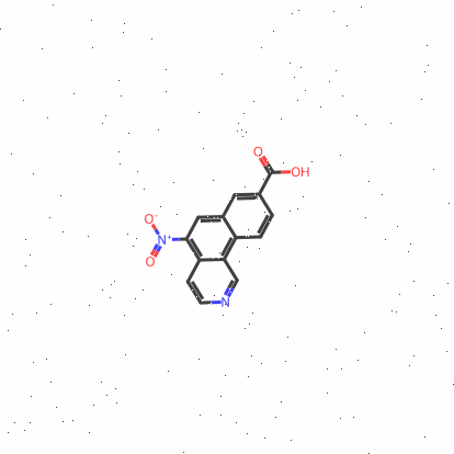 O=C(O)c1ccc2c(c1)cc([N+](=O)[O-])c1ccncc12